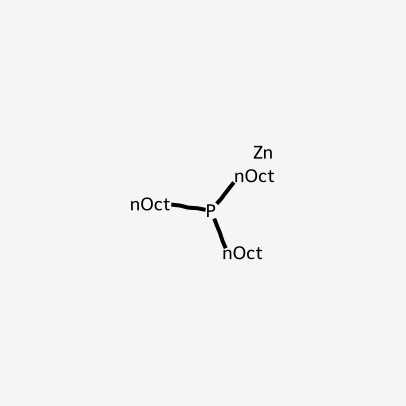 CCCCCCCCP(CCCCCCCC)CCCCCCCC.[Zn]